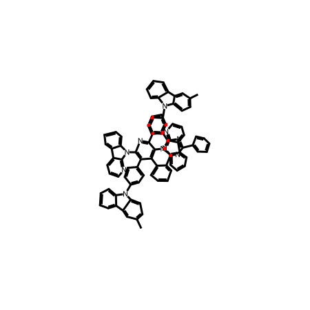 Cc1ccc2c(c1)c1ccccc1n2-c1ccc(-c2nc(-n3c4ccccc4c4cccnc43)c(-c3ccc(-n4c5ccccc5c5cc(C)ccc54)cc3)c(-c3ccccc3-c3nc(-c4ccccc4)nc(-c4ccccc4)n3)c2-n2c3ccccc3c3cccnc32)cc1